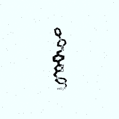 O=C(O)CN1CCN(CC2CC(c3ccc(C=NN4CCN(c5ccccc5)CC4)cc3)=NO2)CC1